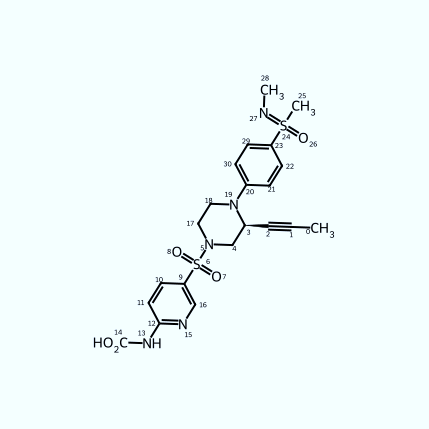 CC#C[C@H]1CN(S(=O)(=O)c2ccc(NC(=O)O)nc2)CCN1c1ccc(S(C)(=O)=NC)cc1